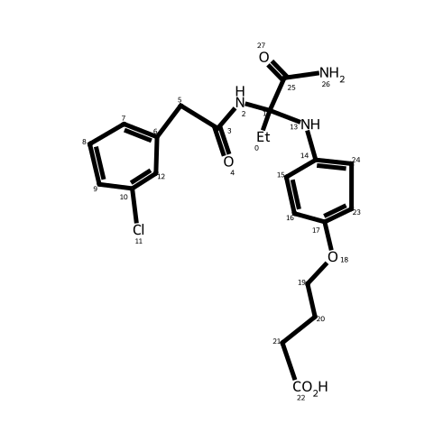 CCC(NC(=O)Cc1cccc(Cl)c1)(Nc1ccc(OCCCC(=O)O)cc1)C(N)=O